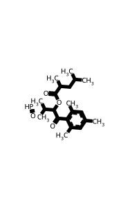 Cc1cc(C)c(C(=O)C(OC(=O)C(C)CC(C)C)C(C)C)c(C)c1.O=P